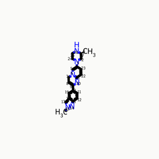 C[C@H]1CN(C2=CN3CC=C(c4ccc5nn(C)cc5c4)N=C3C=C2)CCN1